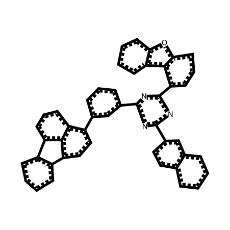 c1cc(-c2nc(-c3ccc4ccccc4c3)nc(-c3cccc4oc5ccccc5c34)n2)cc(-c2ccc3c4c(cccc24)-c2ccccc2-3)c1